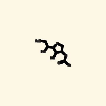 CCC(=O)OC1COC(C(O)COC(C)=O)C1O